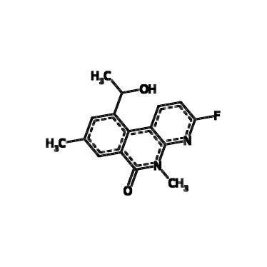 Cc1cc(C(C)O)c2c(c1)c(=O)n(C)c1nc(F)ccc21